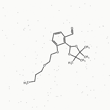 CCCCOCCOc1cccc(C=O)c1B1OC(C)(C)C(C)(C)O1